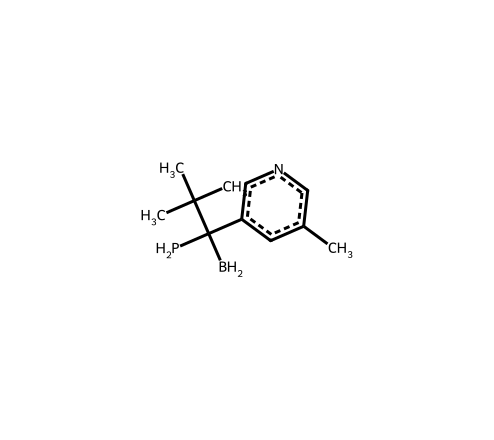 BC(P)(c1cncc(C)c1)C(C)(C)C